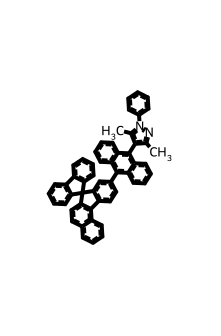 Cc1nn(-c2ccccc2)c(C)c1-c1c2ccccc2c(-c2ccc3c(c2)C2(c4ccccc4-c4ccccc42)c2ccc4ccccc4c2-3)c2ccccc12